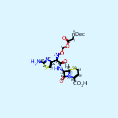 CCCCCCCCCCCC(=O)OCO/N=C(\C(=O)NC1C(=O)N2C(C(=O)O)=CCS[C@H]12)c1csc(N)n1